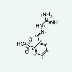 N=C(N)NN=Cc1ccccc1S(=O)(=O)O